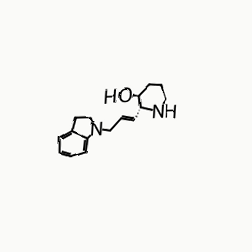 O[C@H]1CCCN[C@@H]1/C=C/CN1CCc2ccccc21